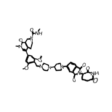 CNC(=O)N1CCc2c(-c3cc(OC)c(CN4CCN(C5CCN(c6ccc7c(c6)C(=O)N(C6CCC(=O)NC6=O)C7=O)CC5)CC4)c(OC)c3)cn(C)c(=O)c2C1